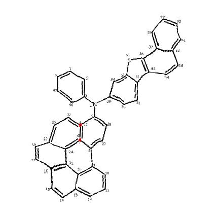 c1ccc(N(c2ccc(-c3cccc4ccc5ccc6ccccc6c5c34)cc2)c2ccc3c(c2)sc2c4ccccc4ccc32)cc1